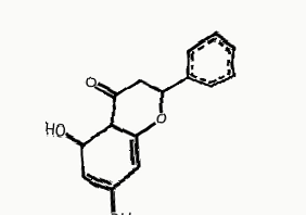 O=C1CC(c2ccccc2)OC2=CC(O)=CC(O)C12